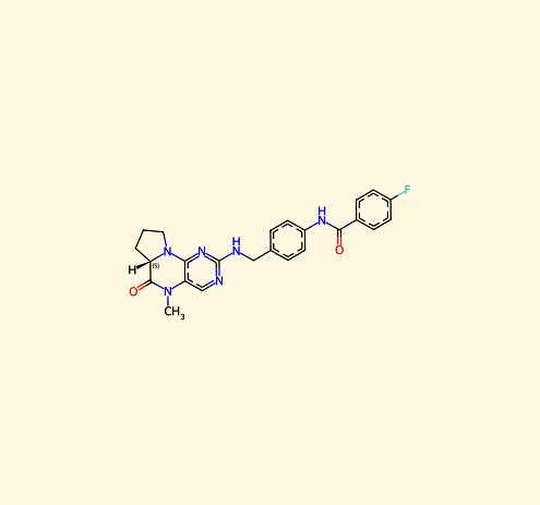 CN1C(=O)[C@@H]2CCCN2c2nc(NCc3ccc(NC(=O)c4ccc(F)cc4)cc3)ncc21